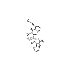 Cc1nn2cccnc2c1C(=O)N[C@H](C)c1cc2cccc(C#CC3CC3)c2c(=O)n1C1CC1